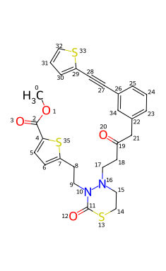 COC(=O)c1ccc(CCN2C(=O)SCCN2CCC(=O)Cc2cccc(C#Cc3cccs3)c2)s1